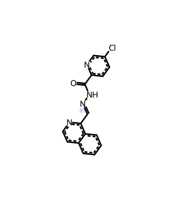 O=C(N/N=C/c1nccc2ccccc12)c1ccc(Cl)cn1